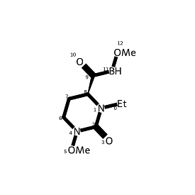 CCN1C(=O)N(OC)CC[C@H]1C(=O)BOC